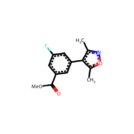 COC(=O)c1cc(F)cc(-c2c(C)noc2C)c1